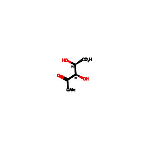 COC(=O)[C@H](O)[C@@H](O)C(=O)O